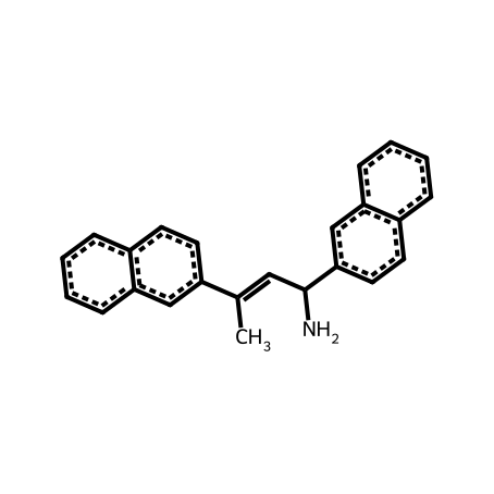 C/C(=C\C(N)c1ccc2ccccc2c1)c1ccc2ccccc2c1